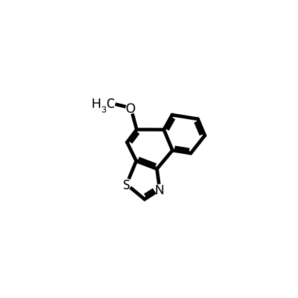 COc1cc2scnc2c2ccccc12